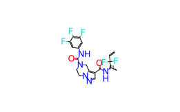 C=CC(F)(F)[C@@H](C)NC(=O)c1cnn2c1CN(C(=O)Nc1cc(F)c(F)c(F)c1)CC2